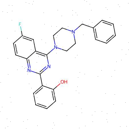 Oc1ccccc1-c1nc(N2CCN(Cc3ccccc3)CC2)c2cc(F)ccc2n1